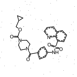 O=C(OCC1CC1)N1CCN(C(=O)c2ccc(NS(=O)(=O)c3cccc4cccnc34)cc2)CC1